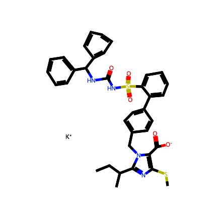 CCC(C)c1nc(SC)c(C(=O)[O-])n1Cc1ccc(-c2ccccc2S(=O)(=O)NC(=O)NC(c2ccccc2)c2ccccc2)cc1.[K+]